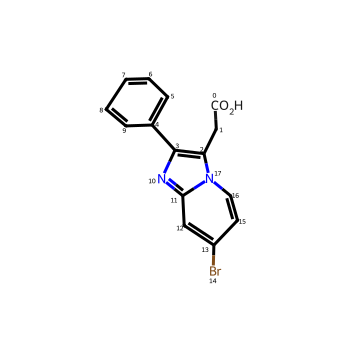 O=C(O)Cc1c(-c2ccccc2)nc2cc(Br)ccn12